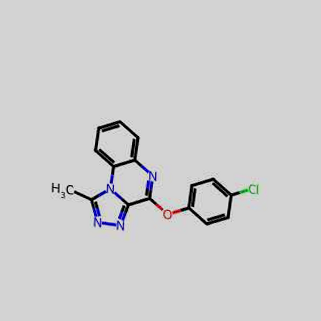 Cc1nnc2c(Oc3ccc(Cl)cc3)nc3ccccc3n12